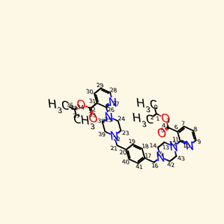 CC(C)OC(=O)c1cccnc1N1CCN(Cc2ccc(CN3CCN(c4ncccc4C(=O)OC(C)C)CC3)cc2)CC1